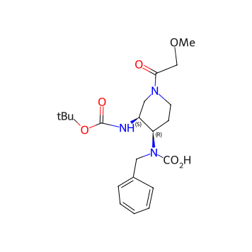 COCC(=O)N1CC[C@@H](N(Cc2ccccc2)C(=O)O)[C@@H](NC(=O)OC(C)(C)C)C1